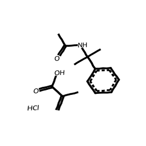 C=C(C)C(=O)O.CC(=O)NC(C)(C)c1ccccc1.Cl